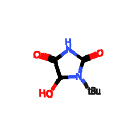 CC(C)(C)N1C(=O)NC(=O)C1O